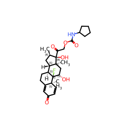 C[C@@H]1C[C@H]2[C@@H]3CCC4=CC(=O)C=C[C@]4(C)[C@@]3(F)[C@@H](O)C[C@]2(C)[C@@]1(O)C(=O)COC(=O)NC1CCCC1